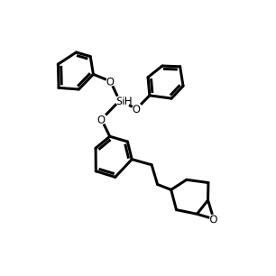 c1ccc(O[SiH](Oc2ccccc2)Oc2cccc(CCC3CCC4OC4C3)c2)cc1